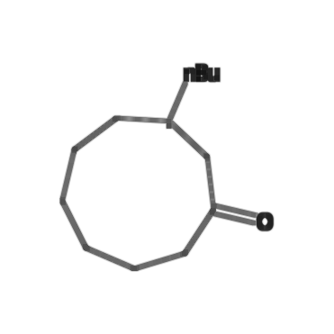 CCCC[C]1CCCCCCC(=O)C1